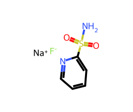 NS(=O)(=O)c1ccccn1.[F-].[Na+]